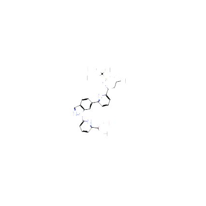 CCC[C@H](N[S@+]([O-])C(C)(C)C)c1cccc(-c2ccc3cnn(-c4cccc(C(C)O)n4)c3c2)n1